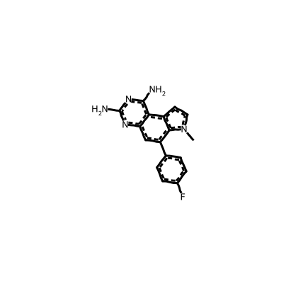 Cn1ccc2c3c(N)nc(N)nc3cc(-c3ccc(F)cc3)c21